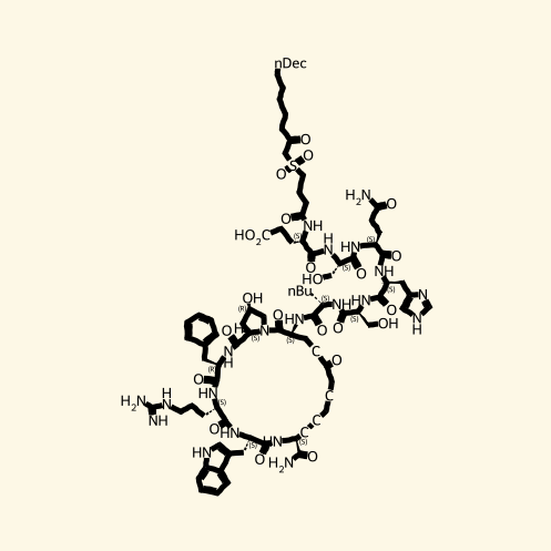 CCCCCCCCCCCCCCCC(=O)CS(=O)(=O)CCCC(=O)N[C@@H](CCC(=O)O)C(=O)N[C@@H](CO)C(=O)N[C@@H](CCC(N)=O)C(=O)N[C@@H](Cc1c[nH]cn1)C(=O)N[C@@H](CO)C(=O)N[C@@H](CCCC)C(=O)N[C@H]1CCC(=O)CCCCC[C@@H](C(N)=O)NC(=O)[C@H](Cc2c[nH]c3ccccc23)NC(=O)[C@H](CCCNC(=N)N)NC(=O)[C@@H](Cc2ccccc2)NC(=O)[C@@H]2C[C@@H](O)CN2C1=O